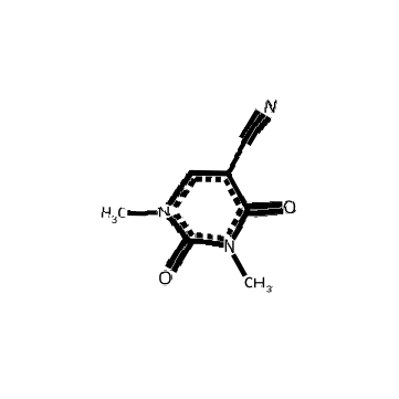 Cn1cc(C#N)c(=O)n(C)c1=O